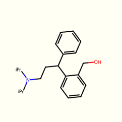 CC(C)N(CCC(c1ccccc1)c1ccccc1CO)C(C)C